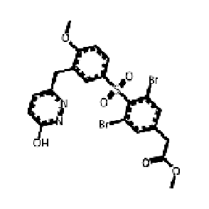 COC(=O)Cc1cc(Br)c(S(=O)(=O)c2ccc(OC)c(Cc3ccc(O)nn3)c2)c(Br)c1